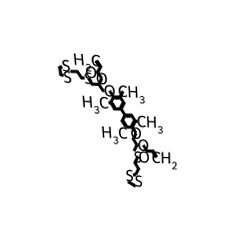 C=CC(=O)OC(COc1c(C)cc(-c2cc(C)c(OCC(CSCCC3SCCS3)OC(=O)C=C)c(C)c2)cc1C)CSCCC1SCCS1